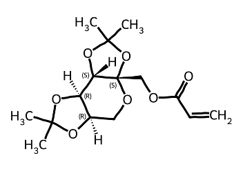 C=CC(=O)OC[C@@]12OC[C@H]3OC(C)(C)O[C@H]3[C@@H]1OC(C)(C)O2